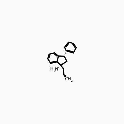 C=CC[C@]1(N)C[C@@H](c2ccccc2)c2ccccc21